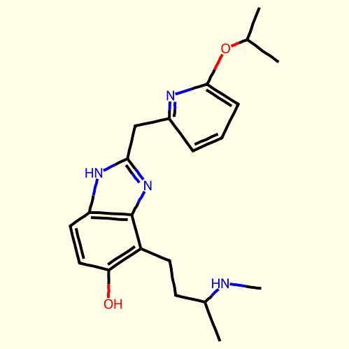 CNC(C)CCc1c(O)ccc2[nH]c(Cc3cccc(OC(C)C)n3)nc12